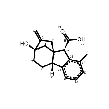 C=C1C[C@]23C[C@]1(O)CC[C@H]2c1cccc(C)c1[C@@H]3C(=O)O